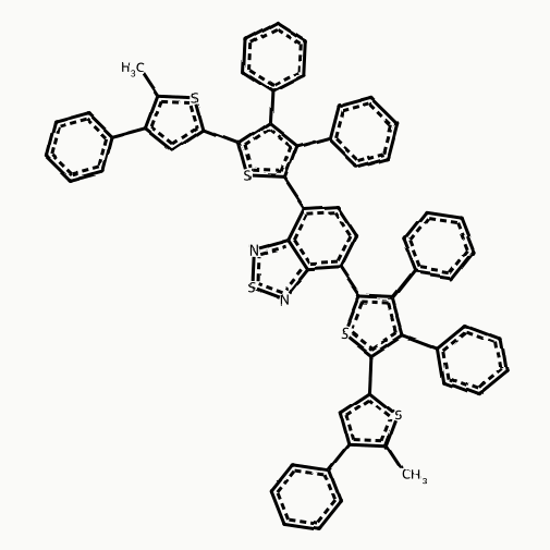 Cc1sc(-c2sc(-c3ccc(-c4sc(-c5cc(-c6ccccc6)c(C)s5)c(-c5ccccc5)c4-c4ccccc4)c4nsnc34)c(-c3ccccc3)c2-c2ccccc2)cc1-c1ccccc1